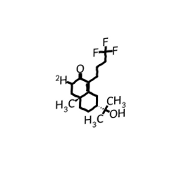 [2H]C1C[C@@]2(C)CC[C@@H](C(C)(C)O)CC2=C(CCCC(F)(F)F)C1=O